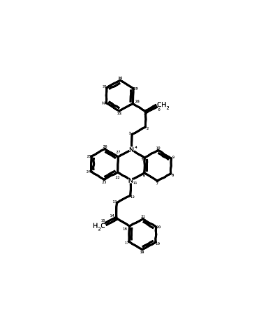 C=C(CCN1C2=C(CCC=C2)N(CCC(=C)c2ccccc2)c2ccccc21)c1ccccc1